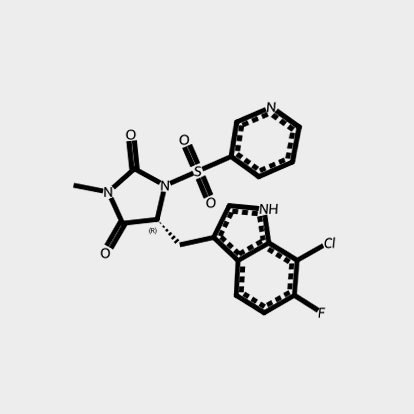 CN1C(=O)[C@@H](Cc2c[nH]c3c(Cl)c(F)ccc23)N(S(=O)(=O)c2cccnc2)C1=O